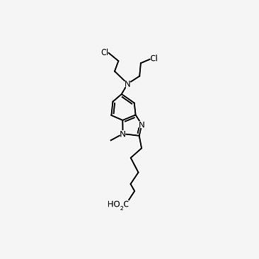 Cn1c(CCCCCC(=O)O)nc2cc(N(CCCl)CCCl)ccc21